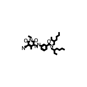 CCCCC(CC)CN(CC(CC)CCCC)C(=O)c1cccc(/N=N/C2C(=O)N(CC)C(=O)C(C#N)=C2C)c1